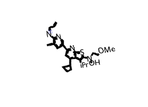 C=C/C=N\c1ncc(-c2cc(C3CCC3)c3c(C(C)C)c(N(O)CCOC)sc3n2)cc1C